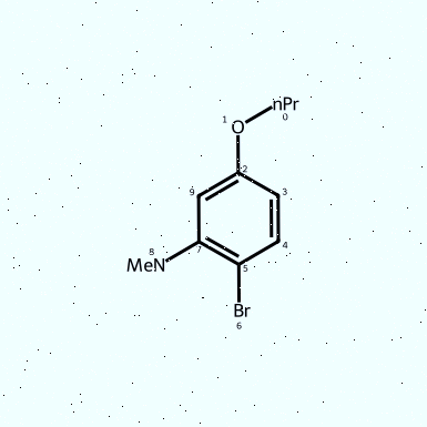 CCCOc1ccc(Br)c(NC)c1